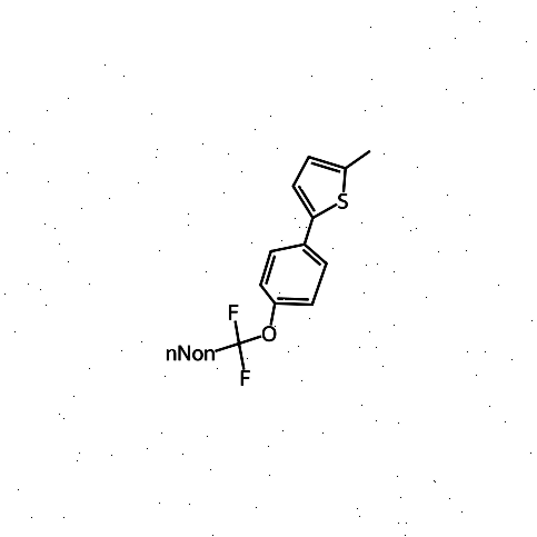 CCCCCCCCCC(F)(F)Oc1ccc(-c2ccc(C)s2)cc1